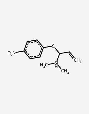 C=CC(Sc1ccc([N+](=O)[O-])cc1)[SiH](C)C